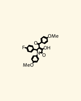 COc1ccc(C(=O)C2=C(O)C(=O)N(c3ccc(OC)cc3)C2c2ccc(F)cc2)cc1